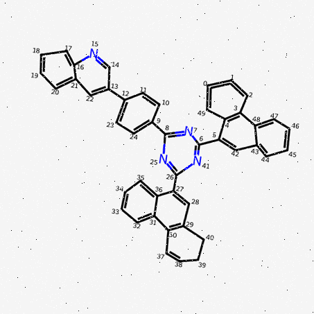 C1=C=Cc2c(c(-c3nc(-c4ccc(-c5cnc6ccccc6c5)cc4)nc(-c4cc5c(c6ccccc46)C=CCC5)n3)cc3ccccc23)C=1